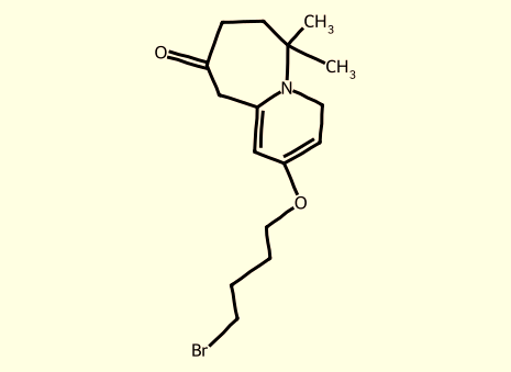 CC1(C)CCC(=O)CC2=CC(OCCCCBr)=CCN21